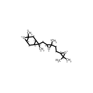 CC1(C)OC1CCC1(C)OC1CC1(C)C2CC3OC3(C)CC21